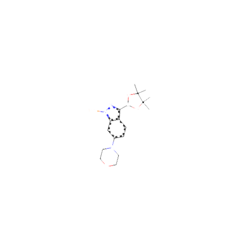 CC1(C)OB(c2nn(P)c3cc(N4CCOCC4)ccc23)OC1(C)C